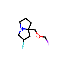 FC1CN2CCCC2(COCI)C1